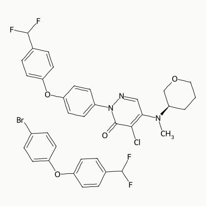 CN(c1cnn(-c2ccc(Oc3ccc(C(F)F)cc3)cc2)c(=O)c1Cl)[C@@H]1CCCOC1.FC(F)c1ccc(Oc2ccc(Br)cc2)cc1